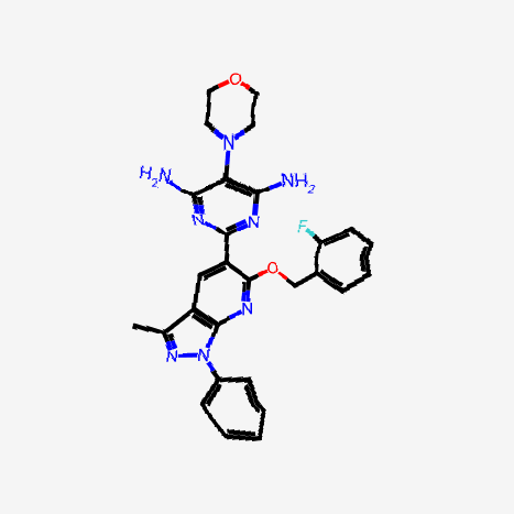 Cc1nn(-c2ccccc2)c2nc(OCc3ccccc3F)c(-c3nc(N)c(N4CCOCC4)c(N)n3)cc12